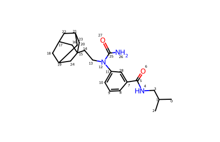 CC(C)CNC(=O)c1cccc(N(CCC23CC4CC(CC(C4)C2)C3)C(N)=O)c1